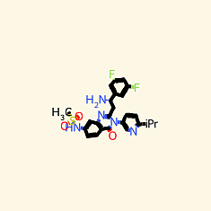 CC(C)c1ccc(-n2c(C[C@H](N)c3cc(F)cc(F)c3)nc3cc(NS(C)(=O)=O)ccc3c2=O)cn1